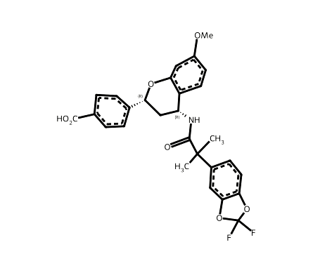 COc1ccc2c(c1)O[C@@H](c1ccc(C(=O)O)cc1)C[C@H]2NC(=O)C(C)(C)c1ccc2c(c1)OC(F)(F)O2